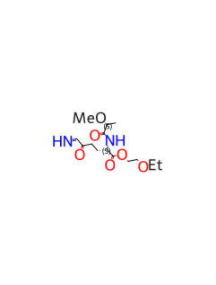 CCOCCOC(=O)[C@H](CCC(=O)C=N)NC(=O)[C@H](C)OC